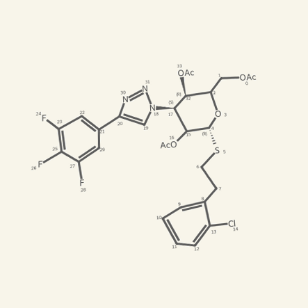 CC(=O)OCC1O[C@H](SCCc2ccccc2Cl)C(OC(C)=O)[C@@H](n2cc(-c3cc(F)c(F)c(F)c3)nn2)[C@H]1OC(C)=O